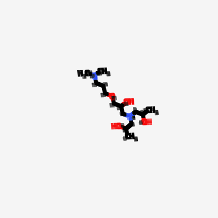 CC(O)CN(CC(C)O)CC(O)COCCCN(C)C